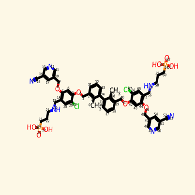 Cc1c(COc2cc(OCc3cncc(C#N)c3)c(CNCCCP(=O)(O)O)cc2Cl)cccc1-c1cccc(COc2cc(OCc3cncc(C#N)c3)c(CNCCCP(=O)(O)O)cc2Cl)c1C